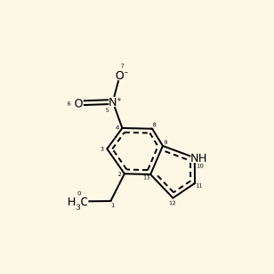 CCc1cc([N+](=O)[O-])cc2[nH]ccc12